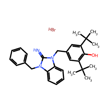 Br.CC(C)(C)c1cc(Cn2c(=N)n(Cc3ccccc3)c3ccccc32)cc(C(C)(C)C)c1O